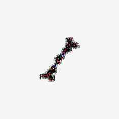 CC1(C)c2cc(/C=C/c3ccc4c(c3)C(C)(C)c3cc(N(c5ccc(F)cc5)c5cccnc5)ccc3-4)ccc2-c2ccc(/C=C/c3ccc4c(c3)C(C)(C)c3cc(N(c5ccc(F)cc5)c5cccnc5)ccc3-4)cc21